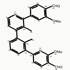 COc1cc(-c2nccc(-c3cccc(-c4ccc(C=O)c(OC)n4)c3C)c2C)ccc1C=O